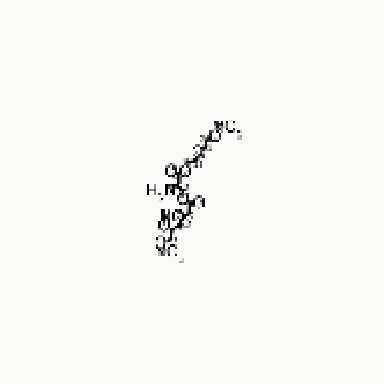 NC(COC(=O)CCCC(CO[N+](=O)[O-])O[N+](=O)[O-])C(=O)OCCOCCO[N+](=O)[O-]